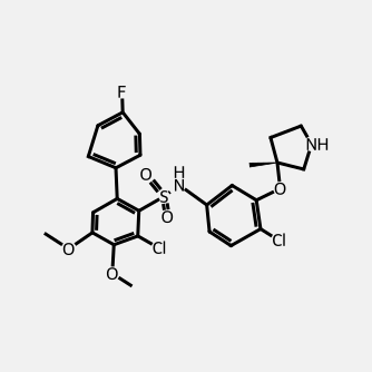 COc1cc(-c2ccc(F)cc2)c(S(=O)(=O)Nc2ccc(Cl)c(O[C@]3(C)CCNC3)c2)c(Cl)c1OC